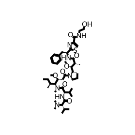 CC[C@H](C)[C@@H]([C@@H](CC(=O)N1CCC[C@H]1[C@H](OC)[C@@H](C)C(=O)N[C@@H](Cc1ccccc1)c1nc(C(=O)NCCO)cs1)OC)N(C)C(=O)[C@@H](NC(=O)[C@H](C(C)C)N(C)C)C(C)C